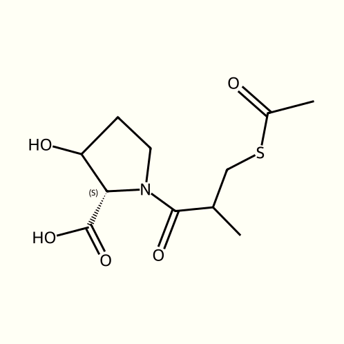 CC(=O)SCC(C)C(=O)N1CCC(O)[C@H]1C(=O)O